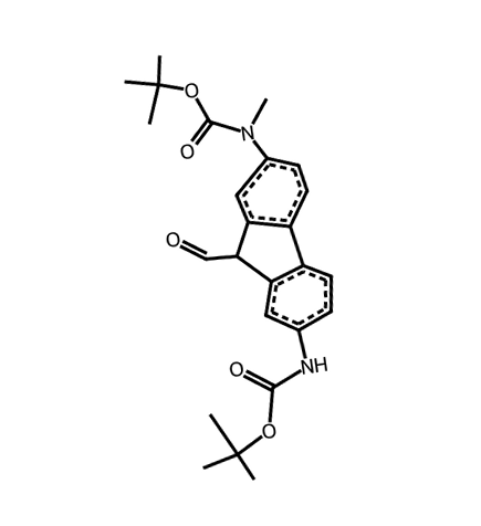 CN(C(=O)OC(C)(C)C)c1ccc2c(c1)C(C=O)c1cc(NC(=O)OC(C)(C)C)ccc1-2